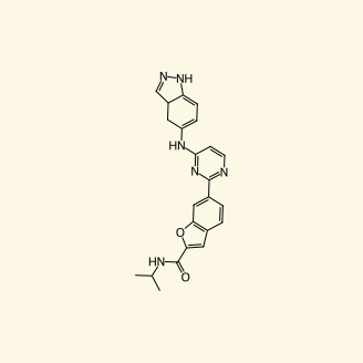 CC(C)NC(=O)c1cc2ccc(-c3nccc(NC4=CC=C5NN=CC5C4)n3)cc2o1